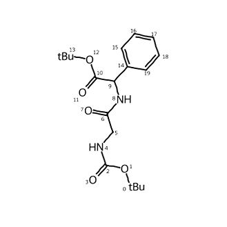 CC(C)(C)OC(=O)NCC(=O)NC(C(=O)OC(C)(C)C)c1ccccc1